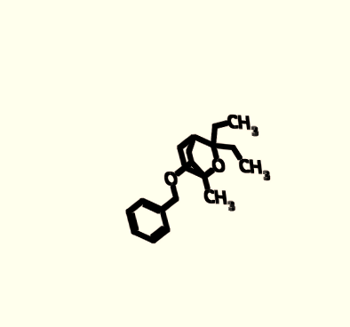 CCC1(CC)OC2(C)CCC1CC2OCc1ccccc1